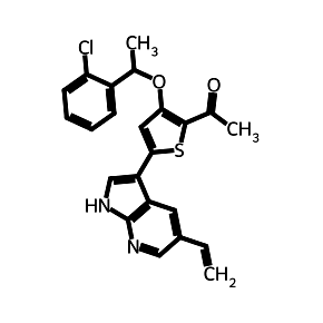 C=Cc1cnc2[nH]cc(-c3cc(OC(C)c4ccccc4Cl)c(C(C)=O)s3)c2c1